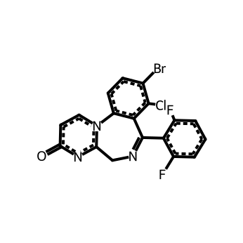 O=c1ccn2c(n1)CN=C(c1c(F)cccc1F)c1c-2ccc(Br)c1Cl